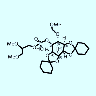 COCO[C@@H]1[C@H]2OC3(CCCCC3)O[C@@H]2[C@H]2OC3(CCCCC3)O[C@H]2[C@H]1OP(=O)(O)OCC(COC)OC